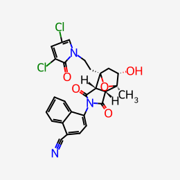 C[C@]12O[C@](CCn3cc(Cl)cc(Cl)c3=O)(C[C@@H]1O)[C@H]1C(=O)N(c3ccc(C#N)c4ccccc34)C(=O)[C@H]12